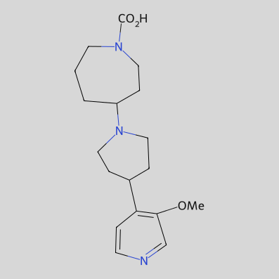 COc1cnccc1C1CCN(C2CCCN(C(=O)O)CC2)CC1